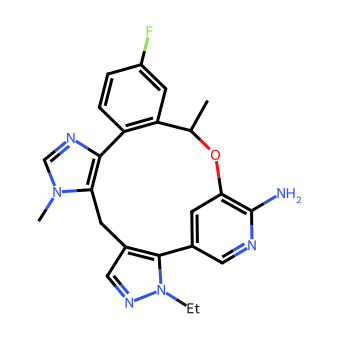 CCn1ncc2c1-c1cnc(N)c(c1)OC(C)c1cc(F)ccc1-c1ncn(C)c1C2